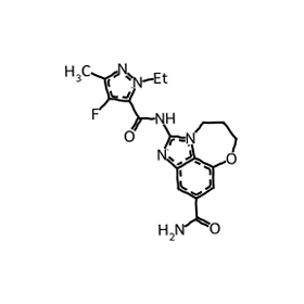 CCn1nc(C)c(F)c1C(=O)Nc1nc2cc(C(N)=O)cc3c2n1CCCO3